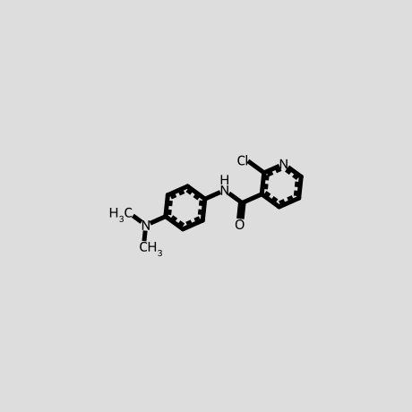 CN(C)c1ccc(NC(=O)c2cccnc2Cl)cc1